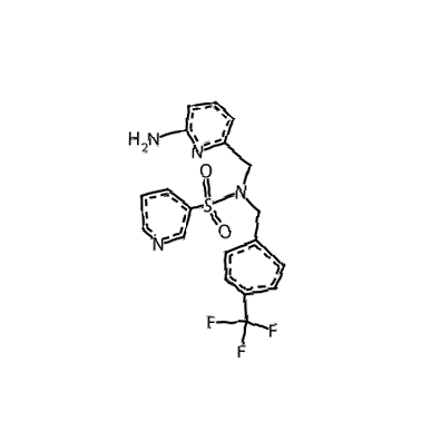 Nc1cccc(CN(Cc2ccc(C(F)(F)F)cc2)S(=O)(=O)c2cccnc2)n1